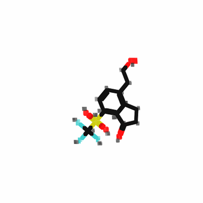 O=C1CCc2c(CCO)ccc(S(=O)(=O)C(F)(F)F)c21